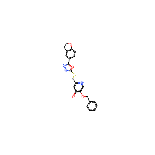 O=c1cc(CSc2nnc(-c3ccc4c(c3)CCO4)o2)[nH]cc1OCc1ccccc1